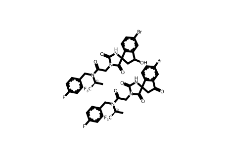 C[C@H](N(Cc1ccc(F)cc1)C(=O)CN1C(=O)NC2(CC(=O)c3cc(Br)ccc32)C1=O)C(F)(F)F.C[C@H](N(Cc1ccc(F)cc1)C(=O)CN1C(=O)NC2(CC(O)c3cc(Br)ccc32)C1=O)C(F)(F)F